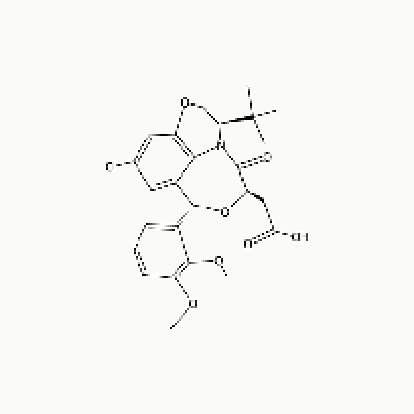 COc1cccc([C@H]2O[C@H](CC(=O)O)C(=O)N3c4c(cc(Cl)cc42)OC[C@H]3C(C)(C)C)c1OC